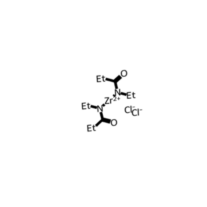 CCC(=O)[N](CC)[Zr+2][N](CC)C(=O)CC.[Cl-].[Cl-]